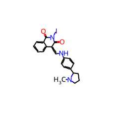 CN1CCCC1c1ccc(N/C=C2\C(=O)N(I)C(=O)c3ccccc32)cc1